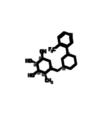 C[C@@H]1[C@@H](O)[C@H](O)[C@@H](O)CN1C[C@H]1CCCN(c2cnccc2C(F)(F)F)C1